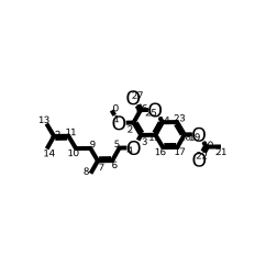 COc1c(OCC=C(C)CCC=C(C)C)c2ccc(OC(C)=O)cc2oc1=O